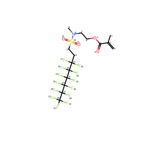 C=C(C)C(=O)OCCN(C)S(=O)(=O)CCC(F)(F)C(F)(F)C(F)(F)C(F)(F)C(F)(F)C(F)(F)F